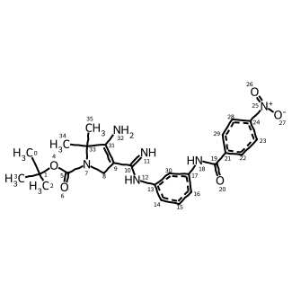 CC(C)(C)OC(=O)N1CC(C(=N)Nc2cccc(NC(=O)c3ccc([N+](=O)[O-])cc3)c2)=C(N)C1(C)C